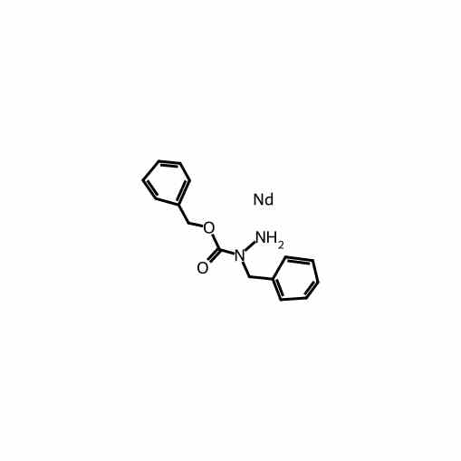 NN(Cc1ccccc1)C(=O)OCc1ccccc1.[Nd]